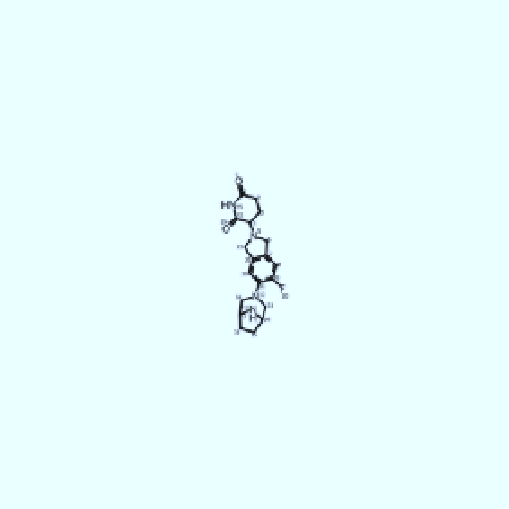 O=C1CCC(N2Cc3cc(F)c(N4CC5CCC(C4)N5)cc3C2)C(=O)N1